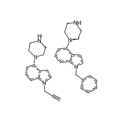 C#CCn1ccc2c(N3CCNCC3)cccc21.c1ccc(Cn2ccc3c(N4CCNCC4)cccc32)cc1